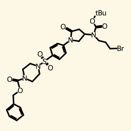 CC(C)(C)OC(=O)N(CCCBr)C1CC(=O)N(c2ccc(S(=O)(=O)N3CCN(C(=O)OCc4ccccc4)CC3)cc2)C1